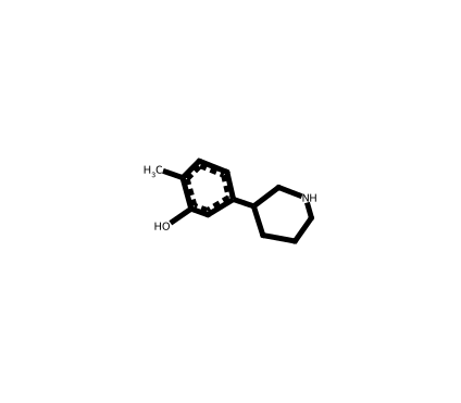 Cc1ccc(C2CCCNC2)cc1O